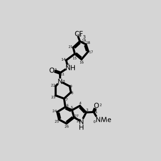 CNC(=O)c1cc2c(C3CCN(C(=O)NCc4cccc(C(F)(F)F)c4)CC3)cccc2[nH]1